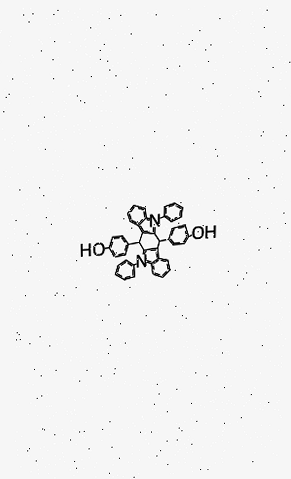 Oc1ccc(C2c3c(n(-c4ccccc4)c4ccccc34)C(c3ccc(O)cc3)c3c2n(-c2ccccc2)c2ccccc32)cc1